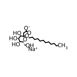 CCCCCCCCCCCCOC1(CC(=O)[O-])O[C@H](CO)[C@@H](O)[C@H](O)[C@H]1O.[Na+]